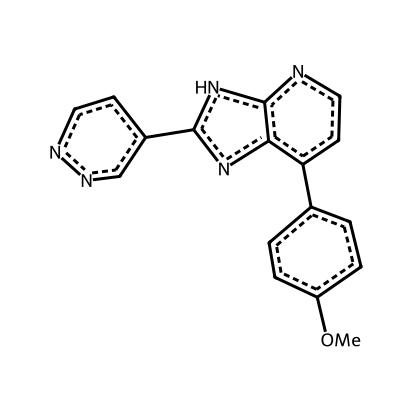 COc1ccc(-c2ccnc3[nH]c(-c4ccnnc4)nc23)cc1